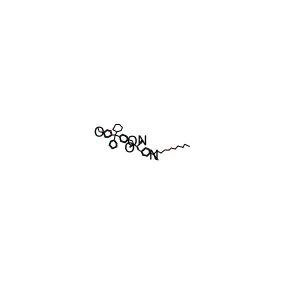 CCCCCCCCCCN(CC)c1ccc(/C=C(\C#N)C(=O)Oc2ccc(C(c3ccccc3)(c3ccc(OC)cc3)C3CCCCC3)cc2)cc1